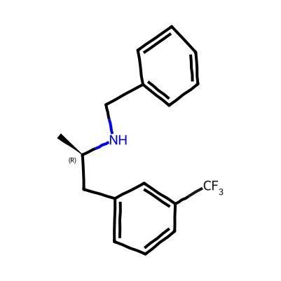 C[C@H](Cc1cccc(C(F)(F)F)c1)NCc1ccccc1